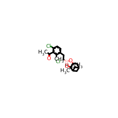 CC(=O)c1c(Cl)ccc(C[C@@H](Cl)B2OC3CC4CC(C4(C)C)[C@]3(C)O2)c1C